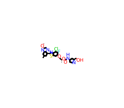 COc1cnc2c(-c3nc4c(Cl)c(F)c(OC[C@@H](C)OC(=O)Nc5ccnc(CO)c5)cc4s3)cc(C)cc2n1